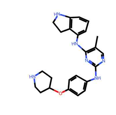 Cc1cnc(Nc2ccc(OC3CCNCC3)cc2)nc1Nc1cccc2c1CCN2